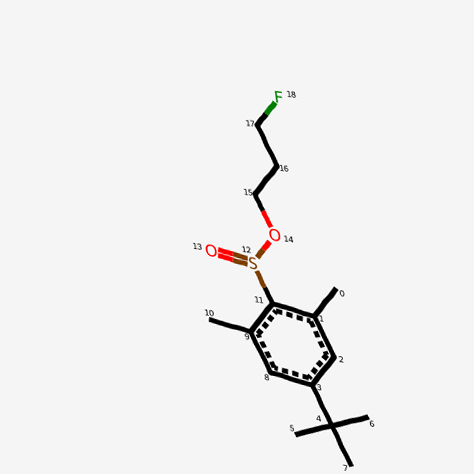 Cc1cc(C(C)(C)C)cc(C)c1S(=O)OCCCF